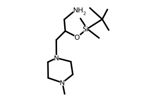 CN1CCN(CC(CN)O[Si](C)(C)C(C)(C)C)CC1